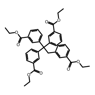 CCOC(=O)c1cccc(CC(c2cccc(C(=O)OCC)c2)(c2cccc(C(=O)OCC)c2)c2cccc(C(=O)OCC)c2)c1